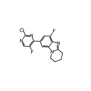 Fc1cnc(Cl)nc1-c1cc(F)c2nc3n(c2c1)CCCC3